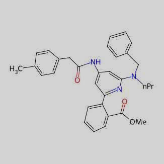 CCCN(Cc1ccccc1)c1cc(NC(=O)Cc2ccc(C)cc2)cc(-c2ccccc2C(=O)OC)n1